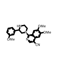 COc1cccc(C2CN(c3ncc(C#N)c4cc(OC)c(OC)cc34)CCN2)c1